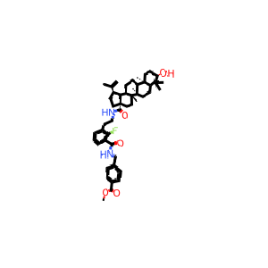 C=C(C)[C@@H]1CC[C@]2(C(=O)NCCc3cccc(C(=O)NCc4ccc(C(=O)OC)cc4)c3F)CC[C@]3(C)C(CCC4[C@@]5(C)CC[C@H](O)C(C)(C)C5CC[C@]43C)C12